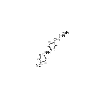 CCCOCCOc1ccc(/N=N/c2ccc(C#N)cc2)cc1